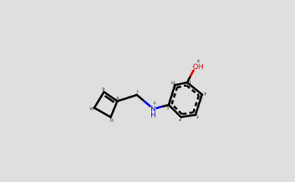 Oc1cccc(NCC2=CCC2)c1